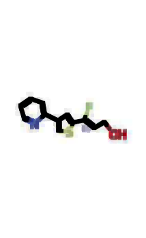 OC/C=C(\F)c1cc(-c2ccccn2)cs1